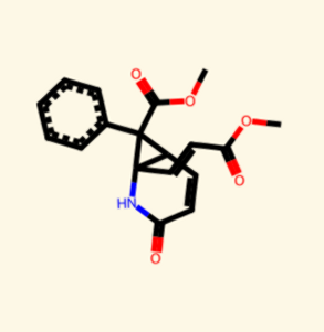 COC(=O)C=CC12NC(=O)C=CC1C2(C(=O)OC)c1ccccc1